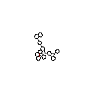 C1=CCC(c2ccccc2-c2ccccc2)(N(c2ccc(-c3ccc(-c4cccc5ccccc45)cc3)cc2)c2ccc3c(c2)c2ccccc2n3-c2ccccc2)C(c2ccccc2)=C1